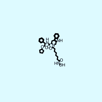 O=C(CCCCCCC(=O)N1Cc2[nH]c3ccccc3c2C[C@@H]1C(=O)N[C@H](C(=O)OC1CCCC1)c1ccccc1)NO